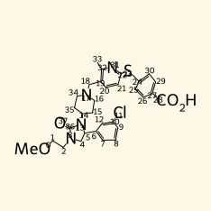 COCCN1CC(c2cccc(Cl)c2)N(C2CCN(Cc3ccc(Sc4ccc(C(=O)O)cc4)nc3C)CC2)C1=O